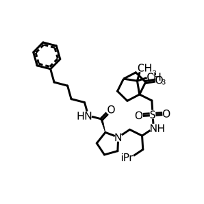 CC(C)CC(CN1CCC[C@H]1C(=O)NCCCCc1ccccc1)NS(=O)(=O)CC12CCC(CC1=O)C2(C)C